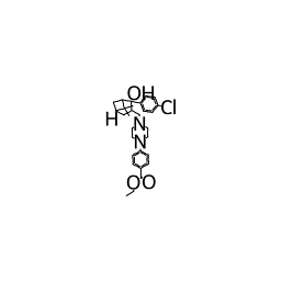 CCOC(=O)c1ccc(N2CCN(CC3C[C@H]4CC(C3(O)c3ccc(Cl)cc3)C4(C)C)CC2)cc1